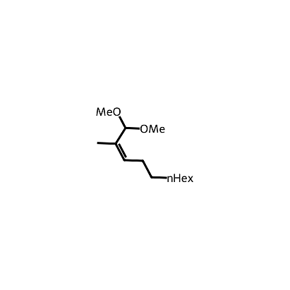 CCCCCCCCC=C(C)C(OC)OC